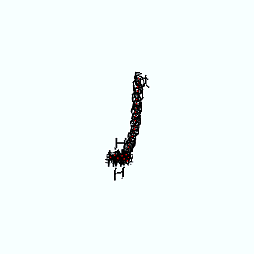 CCOCCOCCOCCOCCOCCOCCOCCOCCOCCOCCOCCOCCCNc1cccnc1C1=NNC(c2ccccn2)=NN1